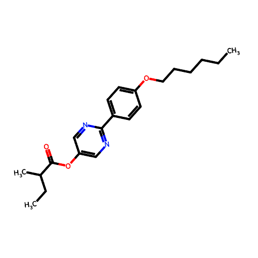 CCCCCCOc1ccc(-c2ncc(OC(=O)C(C)CC)cn2)cc1